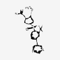 CO[C@@H]1C[C@H](S(=O)(=O)c2ccc(-c3cncnc3)cc2C(F)(F)F)C[C@H]1C(=O)O